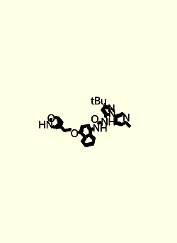 Cc1ccc(-n2nc(C(C)(C)C)cc2NC(=O)Nc2ccc(OCCC3CC4CC3NO4)c3ccccc23)cn1